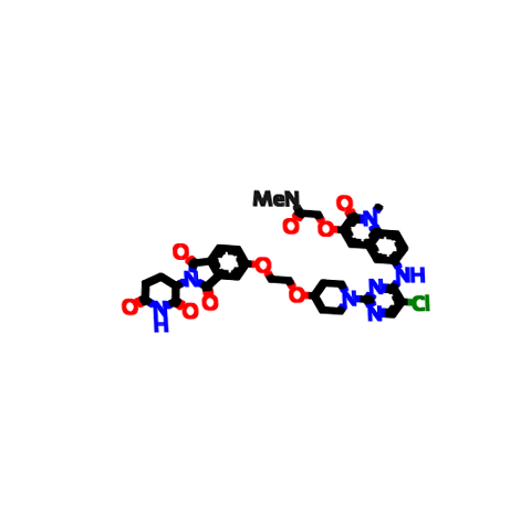 CNC(=O)COc1cc2cc(Nc3nc(N4CCC(OCCOc5ccc6c(c5)C(=O)N(C5CCC(=O)NC5=O)C6=O)CC4)ncc3Cl)ccc2n(C)c1=O